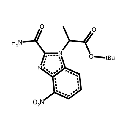 CC(C(=O)OC(C)(C)C)n1c(C(N)=O)nc2c([N+](=O)[O-])cccc21